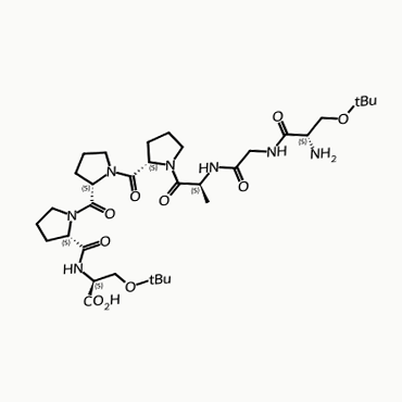 C[C@H](NC(=O)CNC(=O)[C@@H](N)COC(C)(C)C)C(=O)N1CCC[C@H]1C(=O)N1CCC[C@H]1C(=O)N1CCC[C@H]1C(=O)N[C@@H](COC(C)(C)C)C(=O)O